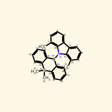 Cc1cccc2c3cccc(C)c3n(B3c4ccccc4[Si](C)(C)c4ccccc43)c12